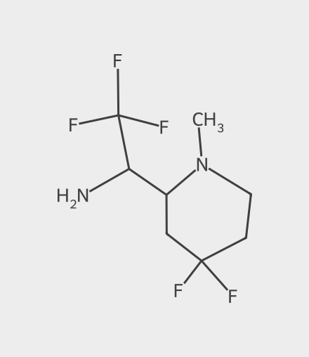 CN1CCC(F)(F)CC1C(N)C(F)(F)F